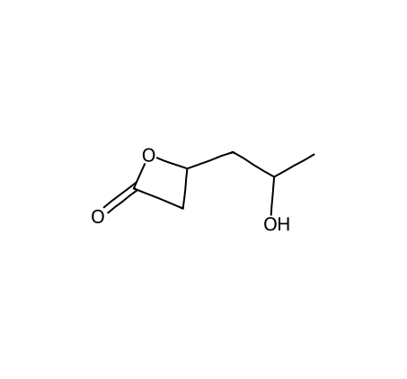 CC(O)CC1CC(=O)O1